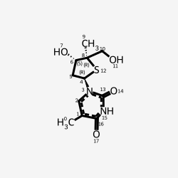 Cc1cn([C@H]2C[C@H](O)[C@@](C)(CO)S2)c(=O)[nH]c1=O